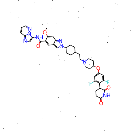 COc1cc2nn(C3CCC(CCN4CCC(Oc5cc(F)c(C6CCC(=O)NC6=O)c(F)c5)CC4)CC3)cc2cc1C(=O)Nc1cnc2cccnn12